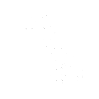 Cc1ccc(C(=O)N2CCC(S(=O)(=O)c3ccc(N(C(=O)C4CNC4)c4cccnn4)cc3)CC2)cc1